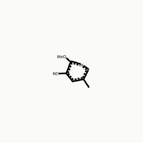 COc1n[c]c(C)cc1C#N